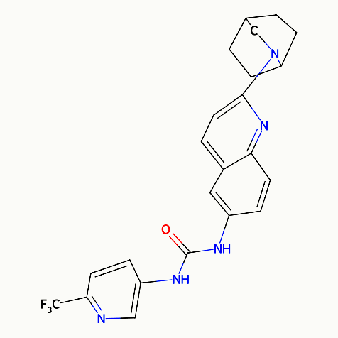 O=C(Nc1ccc(C(F)(F)F)nc1)Nc1ccc2nc(N3CC4CCC3CC4)ccc2c1